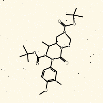 COc1ccc(N2C(=O)N3CCN(C(=O)OC(C)(C)C)CC3C(C)N2C(=O)OC(C)(C)C)cc1C